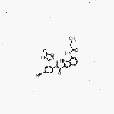 CCCC(=O)Nc1cccc2cc(C(=O)Nc3ccc(C#N)cc3-c3noc(=O)[nH]3)[nH]c12